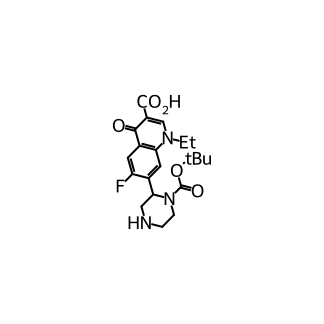 CCn1cc(C(=O)O)c(=O)c2cc(F)c(C3CNCCN3C(=O)OC(C)(C)C)cc21